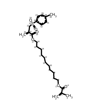 C=C(C)C(=O)OCCCCCCCCCCCOC(=O)C(=C)CS(=O)(=O)c1ccc(C)cc1